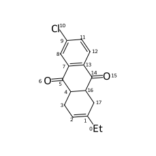 CCC1=CCC2C(=O)c3cc(Cl)ccc3C(=O)C2C1